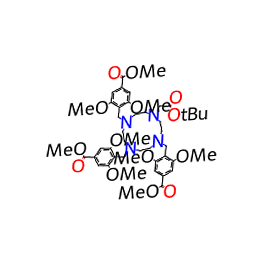 COC(=O)c1cc(OC)c(CN2CCN(CC(=O)OC(C)(C)C)CCN(Cc3c(OC)cc(C(=O)OC)cc3OC)CCN(Cc3c(OC)cc(C(=O)OC)cc3OC)CC2)c(OC)c1